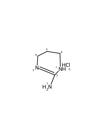 Cl.NC1=NCCCN1